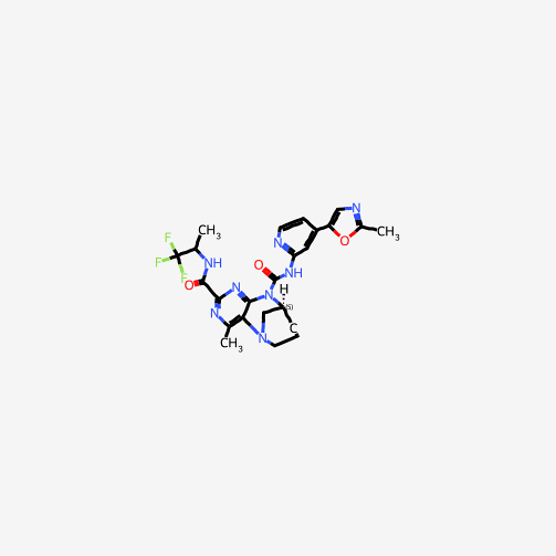 Cc1ncc(-c2ccnc(NC(=O)N3c4nc(C(=O)NC(C)C(F)(F)F)nc(C)c4N4CCC[C@H]3C4)c2)o1